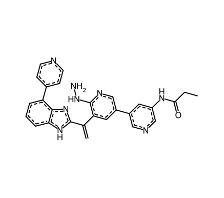 C=C(c1nc2c(-c3ccncc3)cccc2[nH]1)c1cc(-c2cncc(NC(=O)CC)c2)cnc1NN